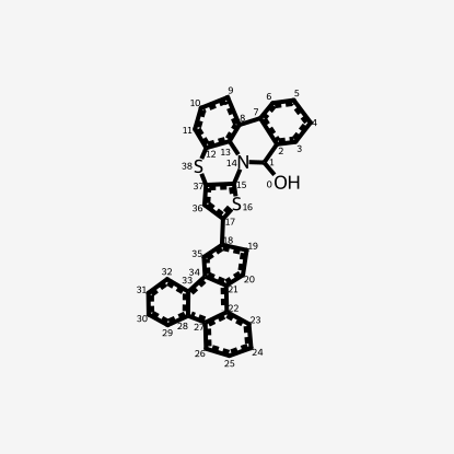 OC1c2ccccc2-c2cccc3c2N1c1sc(-c2ccc4c5ccccc5c5ccccc5c4c2)cc1S3